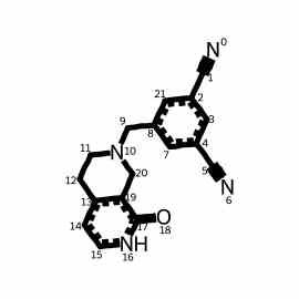 N#Cc1cc(C#N)cc(CN2CCc3cc[nH]c(=O)c3C2)c1